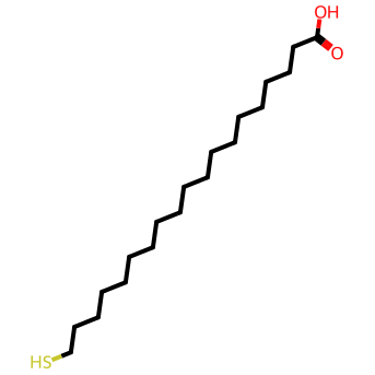 O=C(O)CCCCCCCCCCCCCCCCCCS